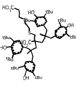 CC(Cc1cc(C(C)(C)C)c(O)c(C(C)(C)C)c1)(Cc1cc(C(C)(C)C)c(O)c(C(C)(C)C)c1)CC(CSCCSCCC(=O)O)(CC(C)(Cc1cc(C(C)(C)C)c(O)c(C(C)(C)C)c1)Cc1cc(C(C)(C)C)c(O)c(C(C)(C)C)c1)C(=O)O